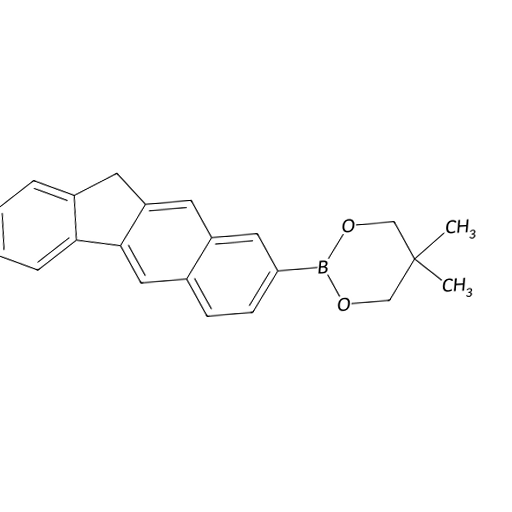 CC1(C)COB(c2ccc3cc4c(cc3c2)Cc2ccccc2-4)OC1